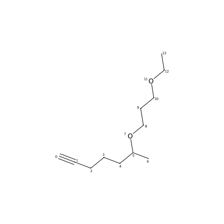 C#CCCCC(C)OCCCOCC